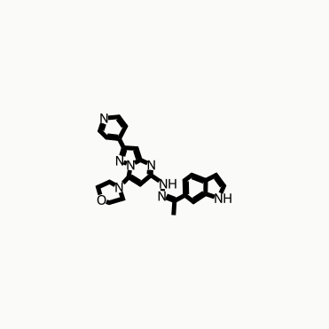 CC(=NNc1cc(N2CCOCC2)n2nc(-c3ccncc3)cc2n1)c1ccc2cc[nH]c2c1